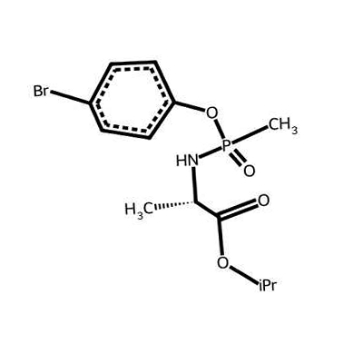 CC(C)OC(=O)[C@H](C)NP(C)(=O)Oc1ccc(Br)cc1